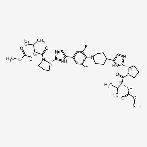 COC(=O)N[C@@H](C(=O)N1CCC[C@H]1c1ncc(-c2cc(F)c(N3CCC(c4cnc([C@@H]5CCCN5C(=O)[C@H](NC(=O)OC)C(C)C)[nH]4)CC3)c(F)c2)[nH]1)C(C)C